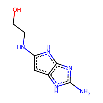 Nc1nc2[nH]c(NCCO)cc2[nH]1